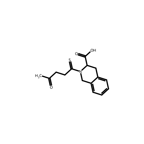 CC(=O)CCC(=S)N1Cc2ccccc2CC1C(=O)O